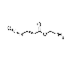 CCOC(=O)/C=C/N=C=O